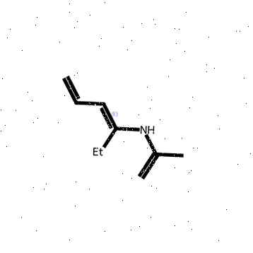 C=C/C=C(\CC)NC(=C)C